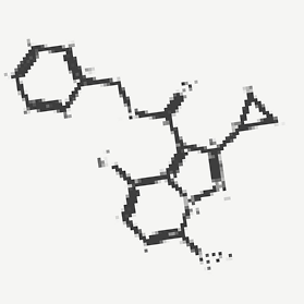 COc1ccc(Br)c2c(C(=O)OCc3ccccc3)c(C3CC3)nn12